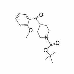 COc1ccccc1C(=O)C1CCN(C(=O)OC(C)(C)C)CC1